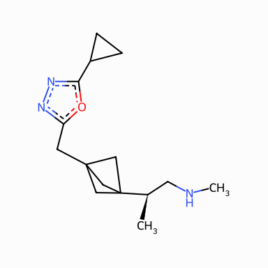 CNC[C@@H](C)C12CC(Cc3nnc(C4CC4)o3)(C1)C2